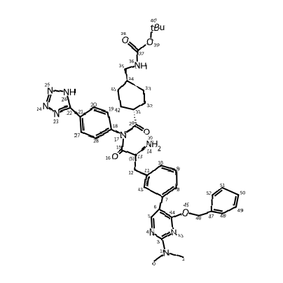 CN(C)c1ncc(-c2cccc(C[C@H](N)C(=O)N(c3ccc(-c4nnn[nH]4)cc3)C(=O)[C@H]3CC[C@H](CNC(=O)OC(C)(C)C)CC3)c2)c(OCc2ccccc2)n1